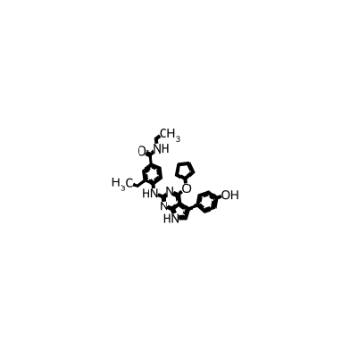 CCNC(=O)c1ccc(Nc2nc(OC3CCCC3)c3c(-c4ccc(O)cc4)c[nH]c3n2)c(CC)c1